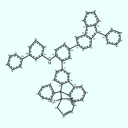 CC1(C2(c3ccccc3)c3ccccc3-c3cc(-c4cc(-c5ccc6c(c5)c5ccccc5n6-c5ccccc5)ccc4Nc4cccc(-c5ccccc5)c4)ccc32)C=CC=CC1